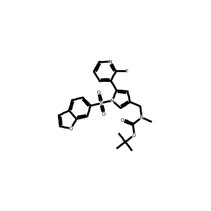 CN(Cc1cc(-c2cccnc2F)n(S(=O)(=O)c2ccc3ccoc3c2)c1)C(=O)OC(C)(C)C